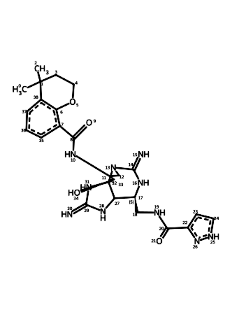 CC1(C)CCOc2c(C(=O)NC3CN4C(=N)N[C@@H](CNC(=O)c5cc[nH]n5)C5NC(=N)NC54[C@@H]3O)cccc21